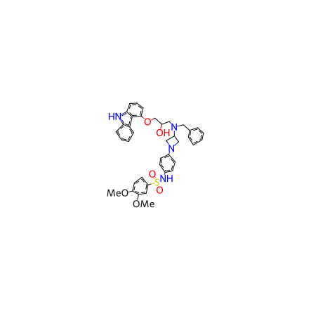 COc1ccc(S(=O)(=O)Nc2ccc(N3CC(N(Cc4ccccc4)CC(O)COc4cccc5[nH]c6ccccc6c45)C3)cc2)cc1OC